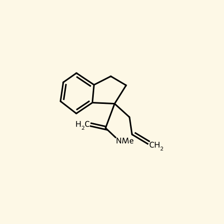 C=CCC1(C(=C)NC)CCc2ccccc21